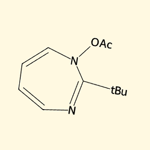 CC(=O)ON1C=CC=CN=C1C(C)(C)C